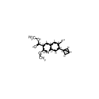 COC(=O)c1cc2cc(F)c(C34CC(C3)C4)cc2nc1OC